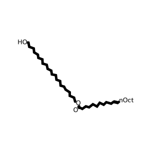 CCCCCCCCC=CCCCCCCCCCC(=O)OCCCCCCCCCCCCCCCCCCCCCCO